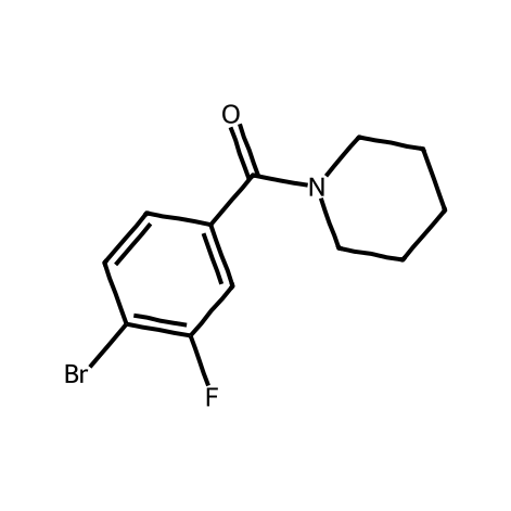 O=C(c1ccc(Br)c(F)c1)N1CCCCC1